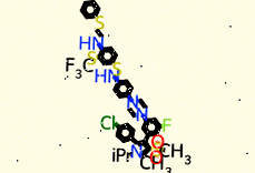 Cc1c(S(C)(=O)=O)c(-c2cc(F)cc(N3CCN(c4ccc(NSc5ccc(NCCSc6ccccc6)c(SC(F)(F)F)c5)cc4)CC3)c2)c(-c2ccc(Cl)cc2)n1C(C)C